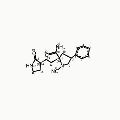 N#CN1CC(c2ccccc2)C[C@@]1(CC[C@H]1CCNC1=O)C(N)=O